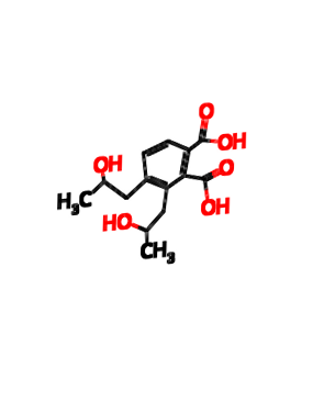 CC(O)Cc1ccc(C(=O)O)c(C(=O)O)c1CC(C)O